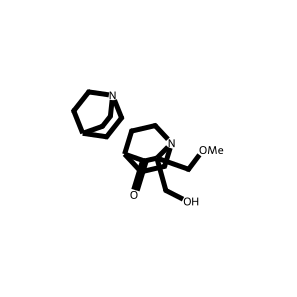 C1CN2CCC1CC2.COCC1(CO)C(=O)C2CCN1CC2